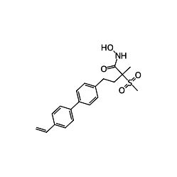 C=Cc1ccc(-c2ccc(CCC(C)(C(=O)NO)S(C)(=O)=O)cc2)cc1